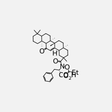 CCC(=O)ON(C(=O)C1(C)CC[C@]2(C)CC[C@]3(C)C(=CC(=O)C4[C@@]5(C)CCCC(C)(C)C5CC[C@]43C)[C@@H]2C1)[C@@H](Cc1ccccc1)C(=O)O